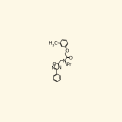 Cc1cccc(OCC(=O)N(Cc2nc(-c3ccccc3)no2)C(C)C)c1